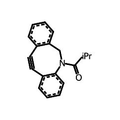 CC(C)C(=O)N1Cc2ccccc2C#Cc2ccccc21